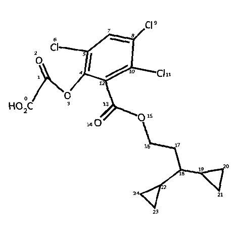 O=C(O)C(=O)Oc1c(Cl)cc(Cl)c(Cl)c1C(=O)OCCC(C1CC1)C1CC1